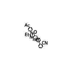 CCCc1nc(CC)n(-c2ccc(C(C)=O)cc2)c(=O)c1Cc1ccc(-c2ccccc2C#N)cc1